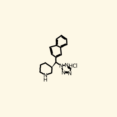 Cl.c1ccc2cc(C([C@@H]3CCCNC3)n3ncnn3)ccc2c1